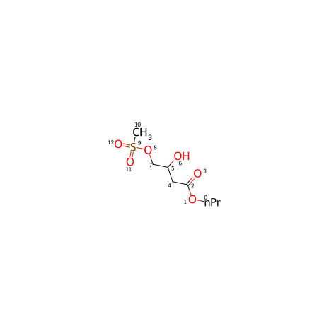 CCCOC(=O)CC(O)COS(C)(=O)=O